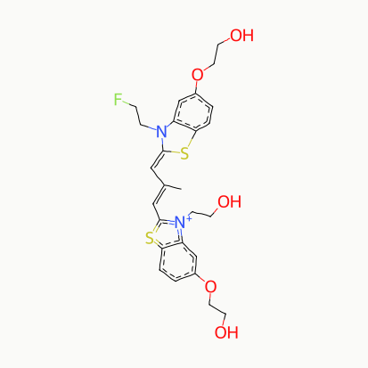 CC(/C=C1\Sc2ccc(OCCO)cc2N1CCF)=C\c1sc2ccc(OCCO)cc2[n+]1CCO